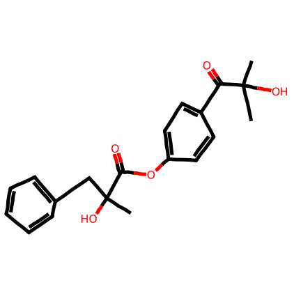 CC(C)(O)C(=O)c1ccc(OC(=O)C(C)(O)Cc2ccccc2)cc1